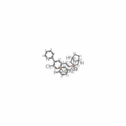 CC(=O)Nc1cc(Cl)c(-c2ccccn2)cc1/C=C/C(=O)N1[C@@H]2CC[C@H]1C[C@H](Nc1ccc(F)cc1)C2